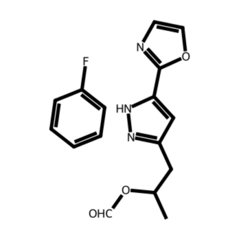 CC(Cc1cc(-c2ncco2)[nH]n1)OC=O.Fc1ccccc1